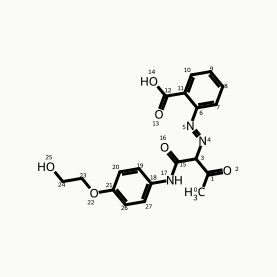 CC(=O)C(/N=N/c1ccccc1C(=O)O)C(=O)Nc1ccc(OCCO)cc1